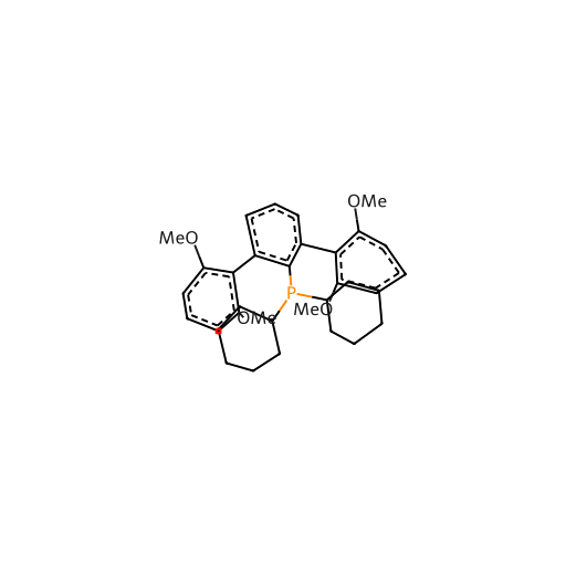 COc1cccc(OC)c1-c1cccc(-c2c(OC)cccc2OC)c1P(C1CCCCC1)C1CCCCC1